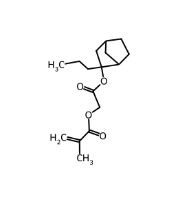 C=C(C)C(=O)OCC(=O)OC1(CCC)CC2CCC1C2